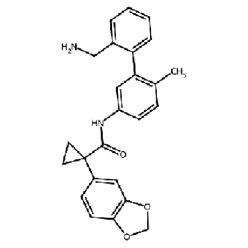 Cc1ccc(NC(=O)C2(c3ccc4c(c3)OCO4)CC2)cc1-c1ccccc1CN